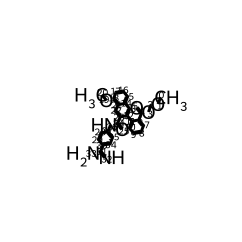 COCOC(=O)c1ccccc1-c1cc2cccc(OC)c2cc1C(=O)Nc1ccc(C(=N)N)cc1